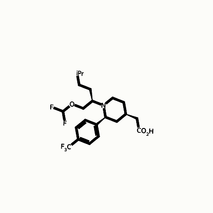 CC(C)CC[C@H](COC(F)F)N1CC[C@@H](CC(=O)O)C[C@H]1c1ccc(C(F)(F)F)cc1